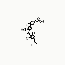 CCCCc1cc(Cl)c(C2CC2c2ccc3c(c2)OCC32CCN(CCC(=O)O)CC2)c(Cl)c1.Cl